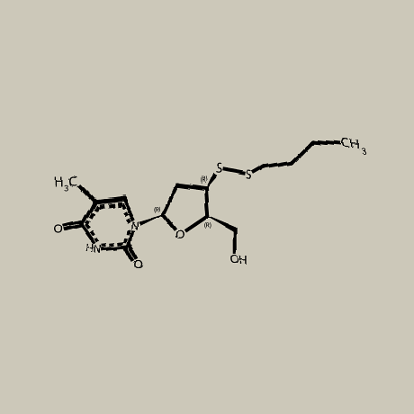 CCCCSS[C@@H]1C[C@H](n2cc(C)c(=O)[nH]c2=O)O[C@@H]1CO